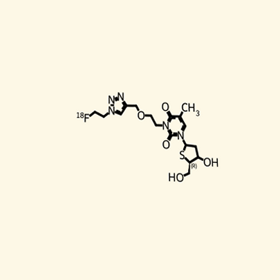 Cc1cn(C2CC(O)[C@@H](CO)S2)c(=O)n(CCOCc2cn(CC[18F])nn2)c1=O